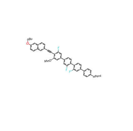 CCCCCc1ccc(-c2ccc(-c3ccc(-c4cc(F)c(C#Cc5ccc6cc(OCCCC)ccc6c5)c(OC)c4)cc3F)c(F)c2)cc1